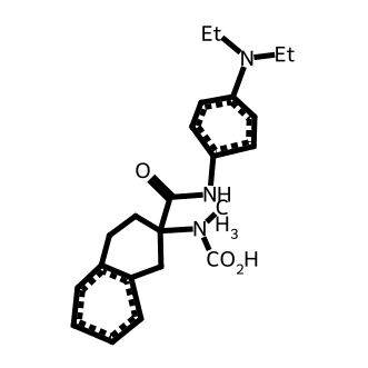 CCN(CC)c1ccc(NC(=O)C2(N(C)C(=O)O)CCc3ccccc3C2)cc1